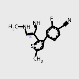 CN/C=C(\C=N)c1sc(C)cc1-c1ccc(C#N)c(F)c1